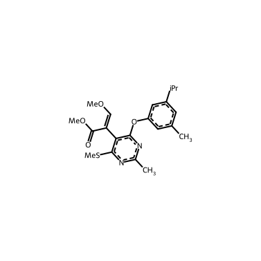 COC=C(C(=O)OC)c1c(Oc2cc(C)cc(C(C)C)c2)nc(C)nc1SC